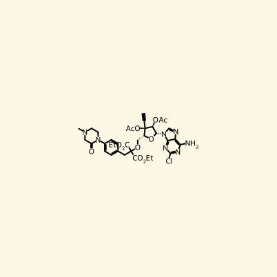 C#C[C@@]1(OC(C)=O)[C@@H](COC(Cc2ccc(N3CCN(C)CC3=O)cc2)(C(=O)OCC)C(=O)OCC)O[C@@H](n2cnc3c(N)nc(Cl)nc32)[C@@H]1OC(C)=O